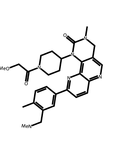 CNCc1cc(-c2ccc3ncc4c(c3n2)N(C2CCN(C(=O)COC)CC2)C(=O)N(C)C4)ccc1C